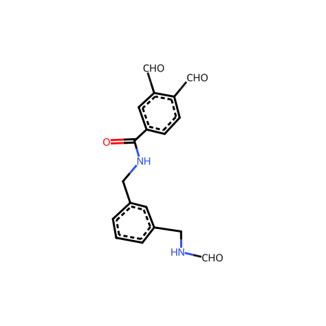 O=CNCc1cccc(CNC(=O)c2ccc(C=O)c(C=O)c2)c1